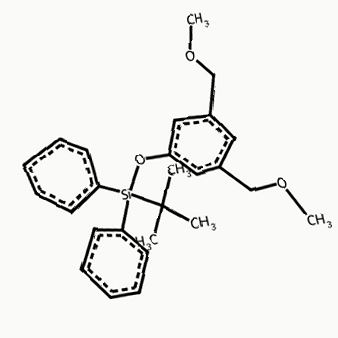 COCc1cc(COC)cc(O[Si](c2ccccc2)(c2ccccc2)C(C)(C)C)c1